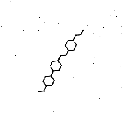 CCCC1CCC(CCC2CCC(C3CCC(OC)CC3)CC2)CO1